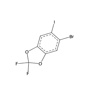 FC1(F)Oc2cc(Br)c(I)cc2O1